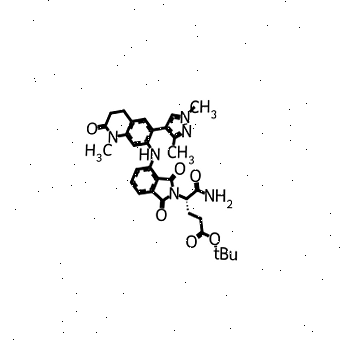 Cc1nn(C)cc1-c1cc2c(cc1Nc1cccc3c1C(=O)N([C@@H](CCC(=O)OC(C)(C)C)C(N)=O)C3=O)N(C)C(=O)CC2